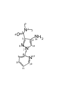 CN(C)C(=O)c1nn(-c2ccccn2)cc1N